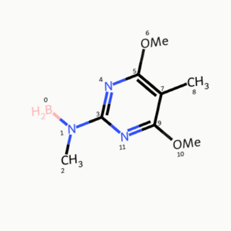 BN(C)c1nc(OC)c(C)c(OC)n1